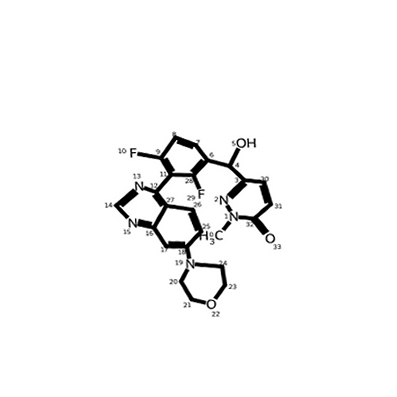 Cn1nc(C(O)c2ccc(F)c(-c3ncnc4cc(N5CCOCC5)ccc34)c2F)ccc1=O